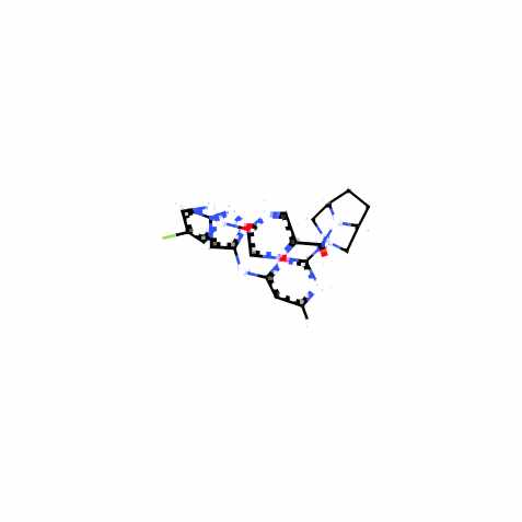 Cc1cc(Nc2cc(C)[nH]n2)nc(N2CC3CCC(C2)N3C(=O)c2cnc(-n3cc(F)cn3)cn2)n1